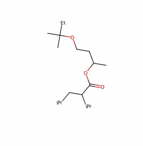 CCC(C)(C)OCCC(C)OC(=O)C(CC(C)C)C(C)C